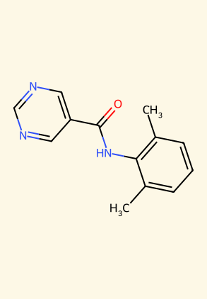 Cc1cccc(C)c1NC(=O)c1cncnc1